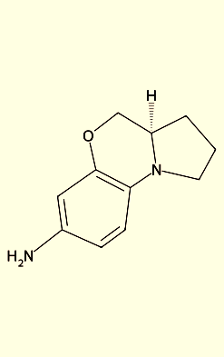 Nc1ccc2c(c1)OC[C@H]1CCCN21